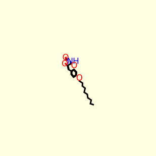 CCCCCCCCCCOc1ccc(/C=C2/OC(=O)NC2=O)cc1